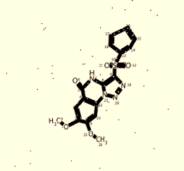 COc1cc2c(=O)[nH]c3c(S(=O)(=O)c4ccccc4)nnn3c2cc1OC